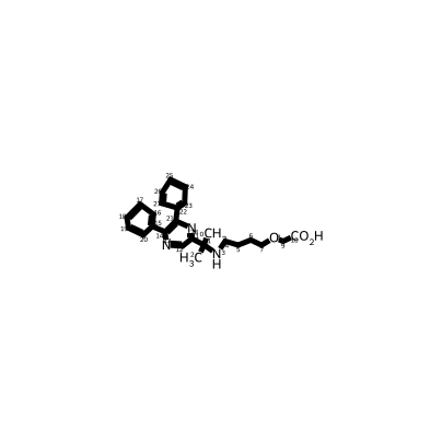 CC(C)(NCCCCOCC(=O)O)c1cnc(-c2ccccc2)c(-c2ccccc2)n1